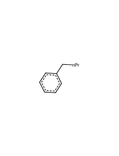 C[CH]CCc1ccccc1